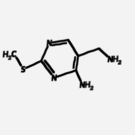 CSc1ncc(CN)c(N)n1